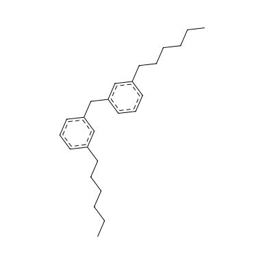 CCCCCCc1cccc(Cc2cccc(CCCCCC)c2)c1